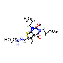 COCCn1c(=O)c2c(C)c(/C=N/NC(=O)O)sc2n(CCC(F)(F)F)c1=O